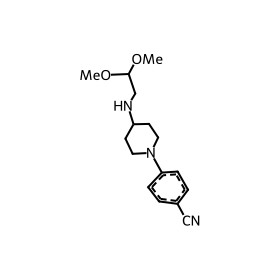 COC(CNC1CCN(c2ccc(C#N)cc2)CC1)OC